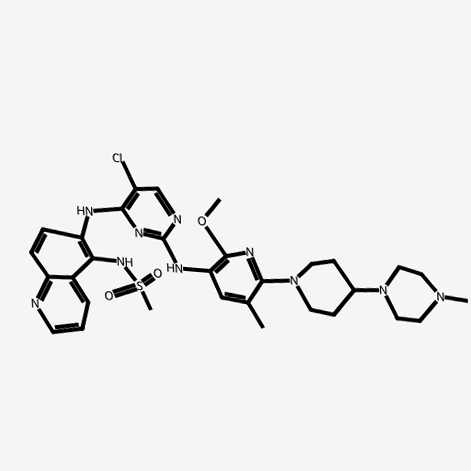 COc1nc(N2CCC(N3CCN(C)CC3)CC2)c(C)cc1Nc1ncc(Cl)c(Nc2ccc3ncccc3c2NS(C)(=O)=O)n1